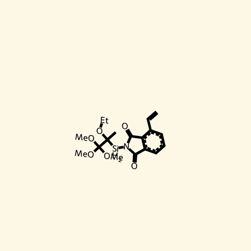 C=Cc1cccc2c1C(=O)N([SiH2]C(C)(OCC)C(OC)(OC)OC)C2=O